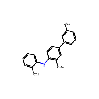 COc1cccc(-c2ccc(Nc3ccccc3C(=O)O)c(OC)c2)c1